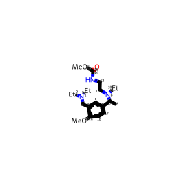 CCN(CC)Cc1cc(C(C)N(CC)CCNC(=O)OC)ccc1OC